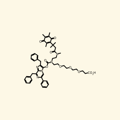 CC1=C(C)C(=O)C(C(C)(C)CC(=O)N(C)CCN(CCOCCOCCOCCC(=O)O)C(=O)Oc2c(Cc3ccccc3)nc3c(Cc4ccccc4)nc(-c4ccccc4)cn23)=C(C)C1=O